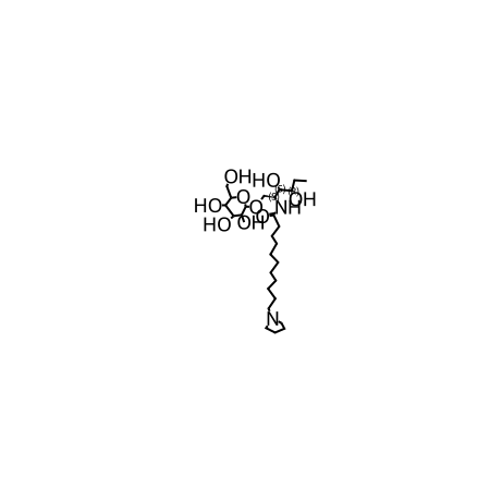 CC[C@@H](O)[C@@H](O)[C@H](COC1OC(CO)C(O)C(O)C1O)NC(=O)CCCCCCCCCCN1CCCC1